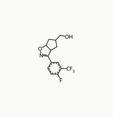 OCC1CC2ON=C(c3ccc(F)c(C(F)(F)F)c3)C2C1